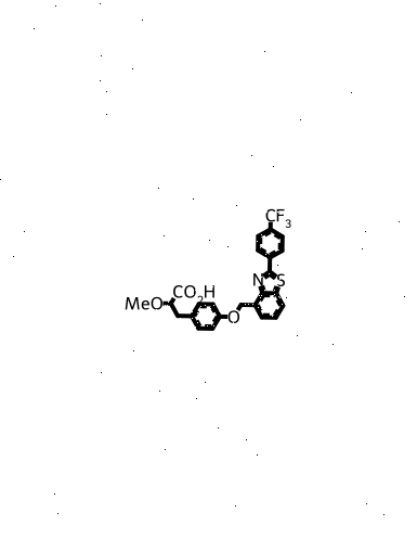 COC(Cc1ccc(OCc2cccc3sc(-c4ccc(C(F)(F)F)cc4)nc23)cc1)C(=O)O